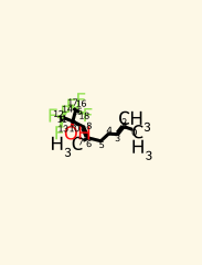 CC(C)=CCCC(C)=CC(O)(C(F)(F)F)C(F)(F)F